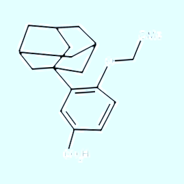 COCOc1ccc(C(=O)O)cc1C12CC3CC(CC(C3)C1)C2